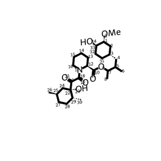 CO[C@@H]1C[C@H](CC(C)C(C)OC(=O)[C@@H]2CCCCN2C(=O)C(=O)[C@]2(O)C[C@H](C)CC[C@H]2C)CC[C@H]1O